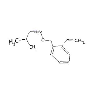 C=Cc1ccccc1CO/N=[C]\C(C)C